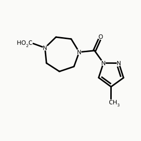 Cc1cnn(C(=O)N2CCCN(C(=O)O)CC2)c1